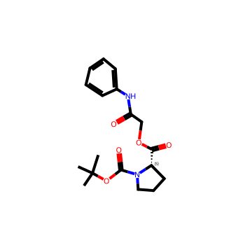 CC(C)(C)OC(=O)N1CCC[C@H]1C(=O)OCC(=O)Nc1ccccc1